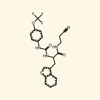 N#CCCNC(=O)C(Cc1csc2ccccc12)NC(=O)Nc1ccc(OC(F)(F)F)cc1